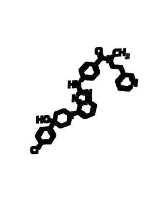 CN(CCc1cccnc1)C(=O)c1ccc(Nc2nc3c(N4CCC(O)(c5ccc(Cl)cc5)CC4)cccn3n2)cc1